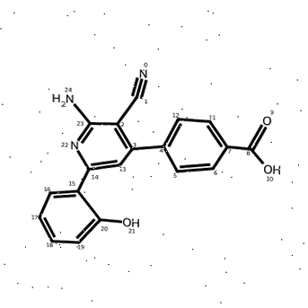 N#Cc1c(-c2ccc(C(=O)O)cc2)cc(-c2ccccc2O)nc1N